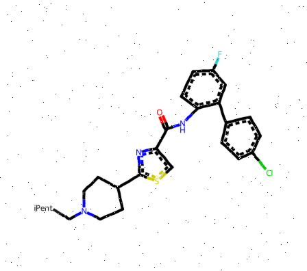 CCCC(C)CN1CCC(c2nc(C(=O)Nc3ccc(F)cc3-c3ccc(Cl)cc3)cs2)CC1